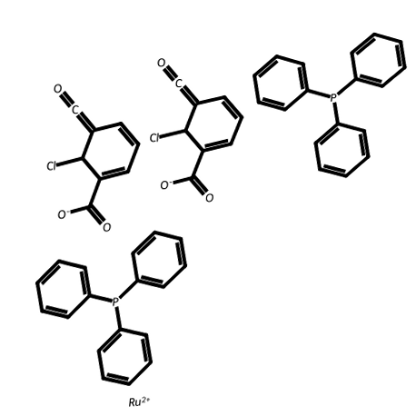 O=C=C1C=CC=C(C(=O)[O-])C1Cl.O=C=C1C=CC=C(C(=O)[O-])C1Cl.[Ru+2].c1ccc(P(c2ccccc2)c2ccccc2)cc1.c1ccc(P(c2ccccc2)c2ccccc2)cc1